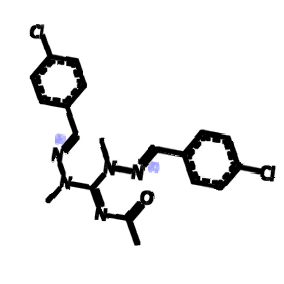 CC(=O)N=C(N(C)/N=C/c1ccc(Cl)cc1)N(C)/N=C/c1ccc(Cl)cc1